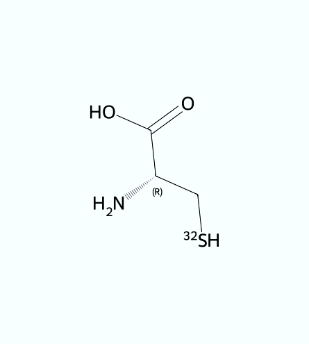 N[C@@H](C[32SH])C(=O)O